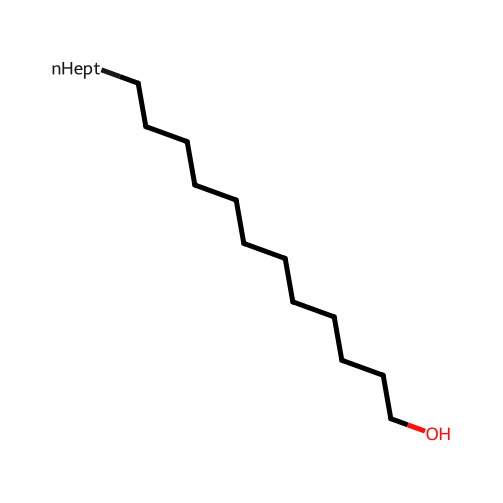 [CH2]CCCCCCCCCCCCCCCCCCO